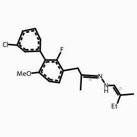 CC/C(C)=C\N/N=C(\C)Cc1ccc(OC)c(-c2cccc(Cl)c2)c1F